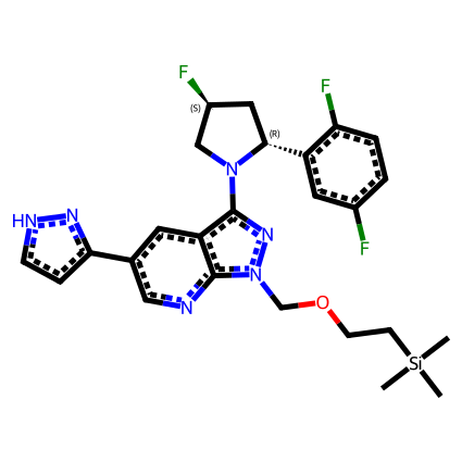 C[Si](C)(C)CCOCn1nc(N2C[C@@H](F)C[C@@H]2c2cc(F)ccc2F)c2cc(-c3cc[nH]n3)cnc21